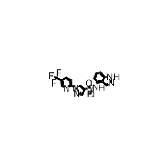 O=S(=O)(Nc1cccc2[nH]ncc12)c1cnn(-c2ccc(C(F)(F)F)cn2)c1